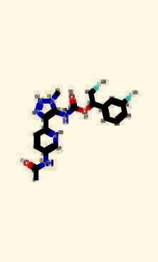 CC(=O)Nc1ccc(-c2nnn(C)c2NC(=O)OC(CF)c2cccc(F)c2)nc1